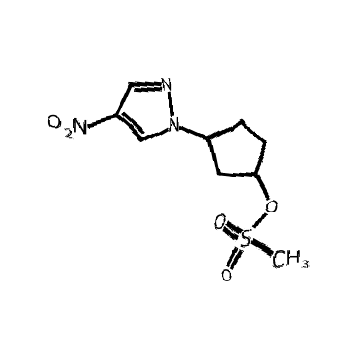 CS(=O)(=O)OC1CCC(n2cc([N+](=O)[O-])cn2)C1